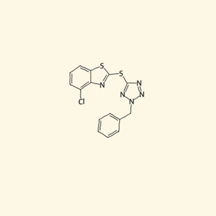 Clc1cccc2sc(Sc3nnn(Cc4ccccc4)n3)nc12